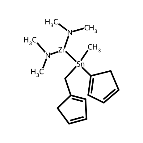 C[N](C)[Zr]([N](C)C)[Sn]([CH3])([CH2]C1=CC=CC1)[C]1=CC=CC1